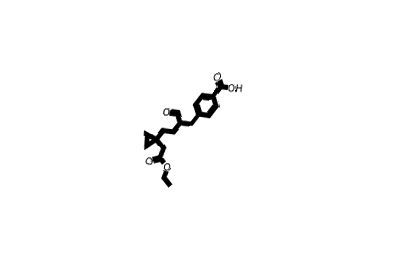 CCOC(=O)CC1(CCC(C=O)Cc2ccc(C(=O)O)cc2)CC1